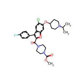 COC(=O)N1CCN(C(=O)c2oc3cc(OC4CCN(C(C)C)CC4)c(Cl)cc3c2-c2ccc(F)cc2)CC1